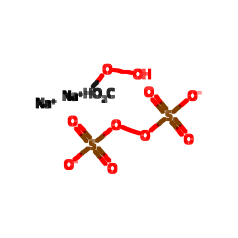 O=C(O)OO.O=S(=O)([O-])OOS(=O)(=O)[O-].[Na+].[Na+]